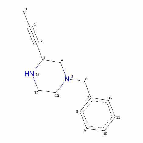 CC#CC1CN(Cc2ccccc2)CCN1